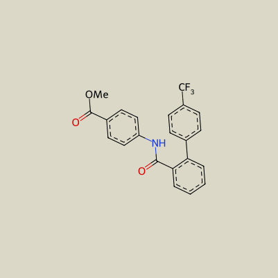 COC(=O)c1ccc(NC(=O)c2ccccc2-c2ccc(C(F)(F)F)cc2)cc1